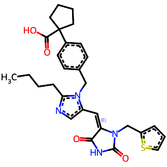 CCCCc1ncc(/C=C2\C(=O)NC(=O)N2Cc2cccs2)n1Cc1ccc(C2(C(=O)O)CCCC2)cc1